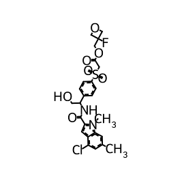 Cc1cc(Cl)c2cc(C(=O)NC(CO)c3ccc(S(=O)(=O)CC(=O)OCC4(F)COC4)cc3)n(C)c2c1